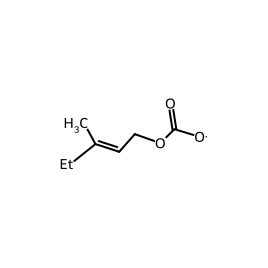 CC/C(C)=C/COC([O])=O